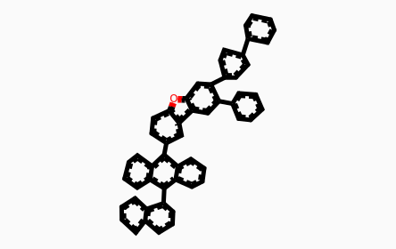 c1ccc(-c2ccc(-c3cc4oc5ccc(-c6c7ccccc7c(-c7cccc8ccccc78)c7ccccc67)cc5c4cc3-c3ccccc3)cc2)cc1